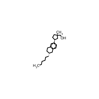 CCCCCC[C@@H]1CCc2cc([C@H]3CC[C@](C)(CO)C3)ccc2C1